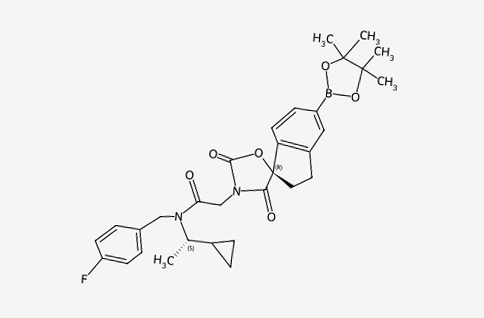 C[C@@H](C1CC1)N(Cc1ccc(F)cc1)C(=O)CN1C(=O)O[C@@]2(CCc3cc(B4OC(C)(C)C(C)(C)O4)ccc32)C1=O